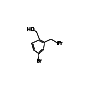 CC(C)Cc1cc(Br)ccc1CO